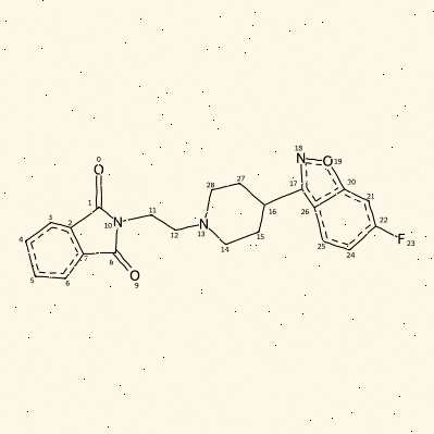 O=C1c2ccccc2C(=O)N1CCN1CCC(c2noc3cc(F)ccc23)CC1